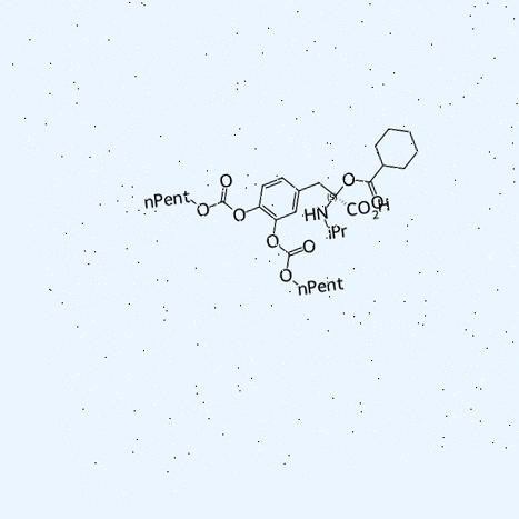 CCCCCOC(=O)Oc1ccc(C[C@](NC(C)C)(OC(=O)C2CCCCC2)C(=O)O)cc1OC(=O)OCCCCC